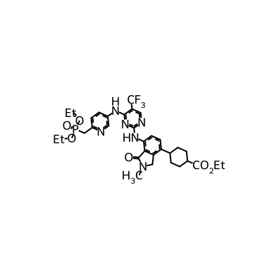 CCOC(=O)C1CCC(c2ccc(Nc3ncc(C(F)(F)F)c(Nc4ccc(CP(=O)(OCC)OCC)nc4)n3)c3c2CN(C)C3=O)CC1